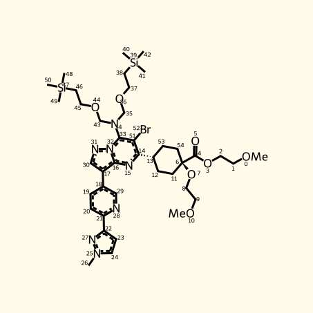 COCCOC(=O)[C@]1(OCCOC)CC[C@H](c2nc3c(-c4ccc(-c5ccn(C)n5)nc4)cnn3c(N(COCC[Si](C)(C)C)COCC[Si](C)(C)C)c2Br)CC1